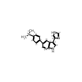 CN(C)c1ccc(-c2cnc3[nH]cc(-c4c[nH]cn4)c3c2)cc1